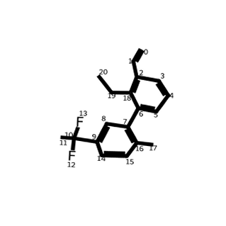 C=Cc1cccc(-c2cc(C(C)(F)F)ccc2C)c1CC